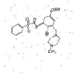 COC1=CC(CN2CCN(C)CC2)=C(Br)C(=NNS(=O)(=O)c2ccccc2)C1